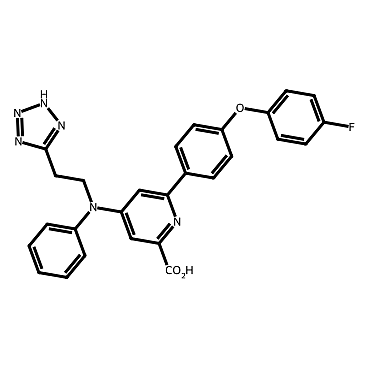 O=C(O)c1cc(N(CCc2nn[nH]n2)c2ccccc2)cc(-c2ccc(Oc3ccc(F)cc3)cc2)n1